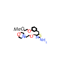 COCCOc1cccc(Cc2sc(N)nc2COCCN2CCOCC2)c1